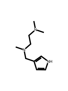 CN(C)CCN(C)Cc1cc[nH]c1